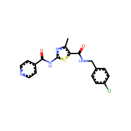 Cc1nc(NC(=O)c2ccncc2)sc1C(=O)NCc1ccc(Cl)cc1